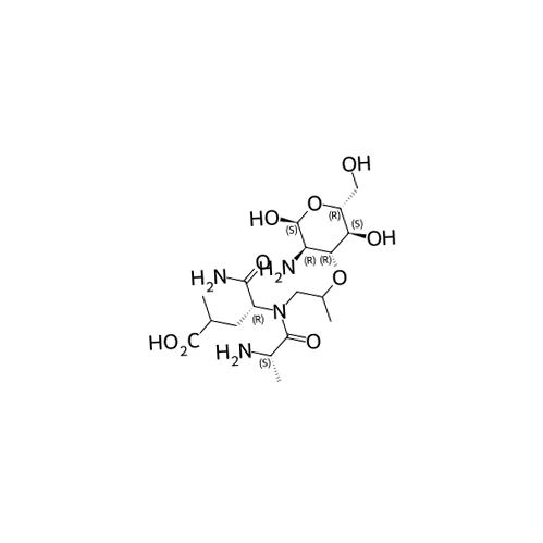 CC(CN(C(=O)[C@H](C)N)[C@H](CC(C)C(=O)O)C(N)=O)O[C@@H]1[C@@H](N)[C@@H](O)O[C@H](CO)[C@H]1O